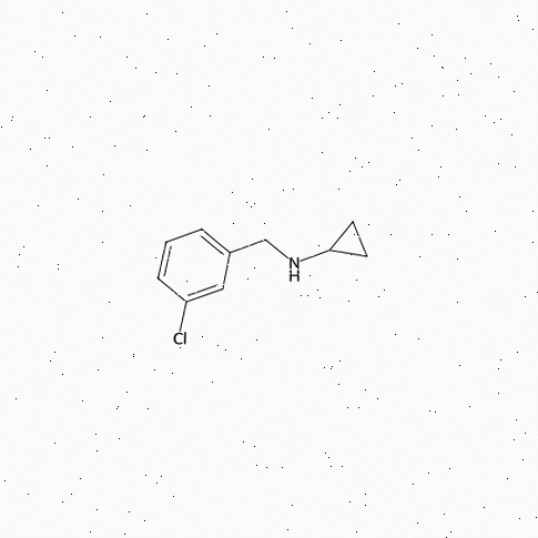 Clc1cccc(CNC2CC2)c1